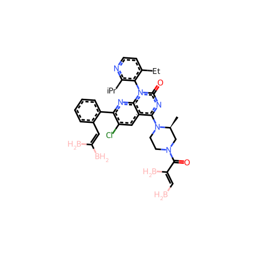 B/C=C(\B)C(=O)N1CCN(c2nc(=O)n(-c3c(CC)ccnc3C(C)C)c3nc(-c4ccccc4C=C(B)B)c(Cl)cc23)[C@@H](C)C1